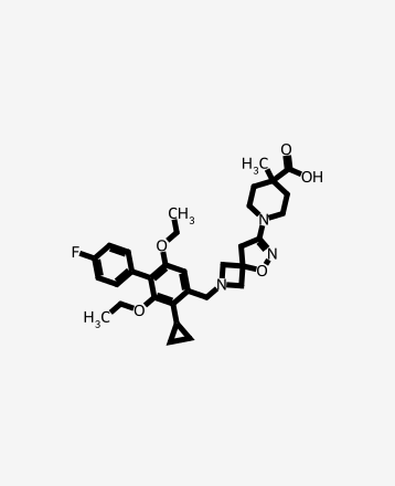 CCOc1cc(CN2CC3(CC(N4CCC(C)(C(=O)O)CC4)=NO3)C2)c(C2CC2)c(OCC)c1-c1ccc(F)cc1